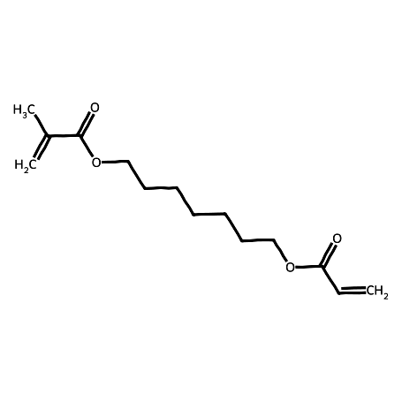 C=CC(=O)OCCCCCCCOC(=O)C(=C)C